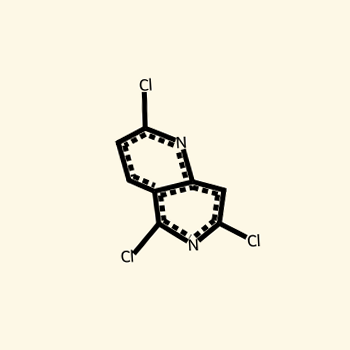 Clc1cc2nc(Cl)ccc2c(Cl)n1